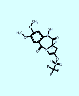 COc1cc2c(cc1OC)N(S)C(=O)[C@@H]1CC(OS(=O)(=O)C(F)(F)F)=CN1C2=O